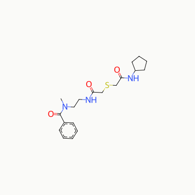 CN(CCNC(=O)CSCC(=O)NC1CCCC1)C(=O)c1ccccc1